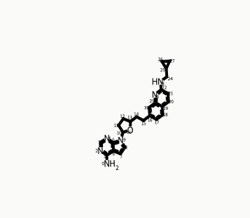 Nc1ncnc2c1ccn2C1CCC(CCc2ccc3ccc(NCC4CC4)nc3c2)O1